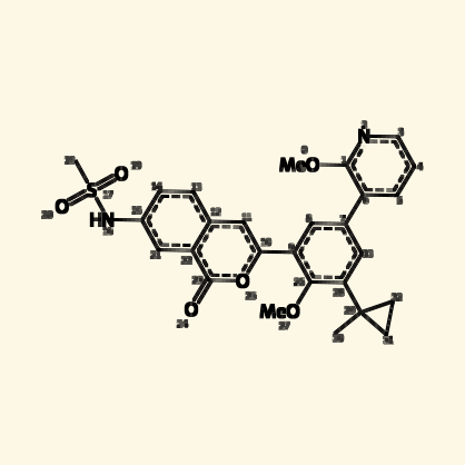 COc1ncccc1-c1cc(-c2cc3ccc(NS(C)(=O)=O)cc3c(=O)o2)c(OC)c(C2(C)CC2)c1